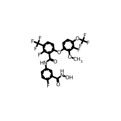 COc1c(Oc2ccc(C(F)(F)F)c(F)c2C(=O)Nc2ccc(F)c(C(=O)NO)c2)ccc(OC(F)(F)F)c1F